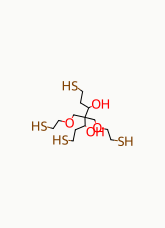 OC(CCS)C(COCCS)(COCCS)C(O)CCS